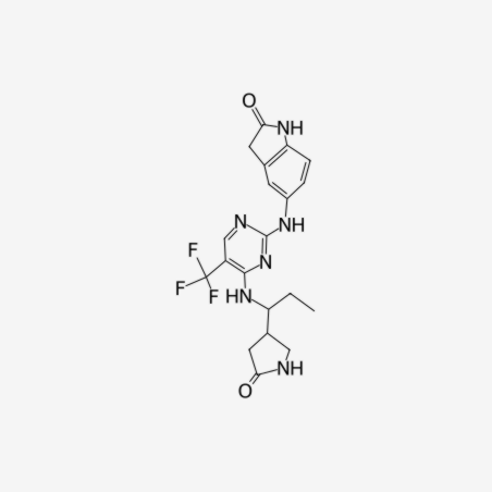 CCC(Nc1nc(Nc2ccc3c(c2)CC(=O)N3)ncc1C(F)(F)F)C1CNC(=O)C1